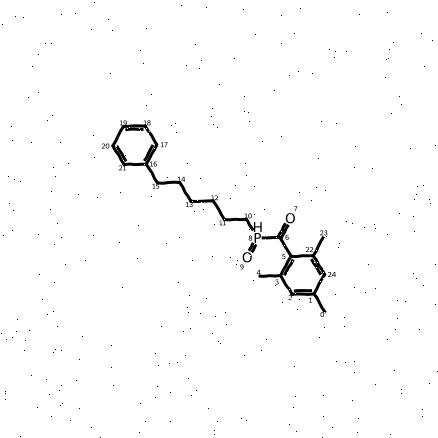 Cc1cc(C)c(C(=O)[PH](=O)CCCCCCc2ccccc2)c(C)c1